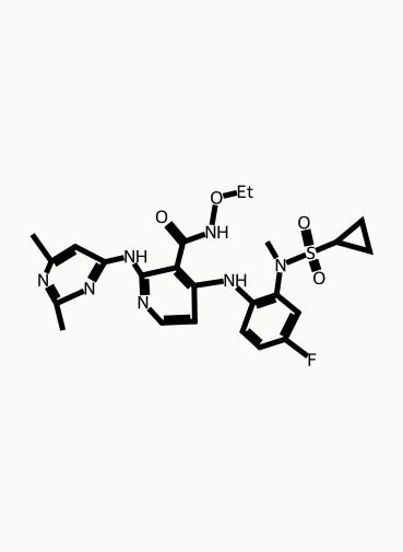 CCONC(=O)c1c(Nc2ccc(F)cc2N(C)S(=O)(=O)C2CC2)ccnc1Nc1cc(C)nc(C)n1